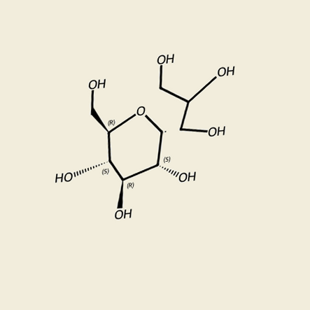 OCC(O)CO.OC[C@H]1O[CH][C@H](O)[C@@H](O)[C@@H]1O